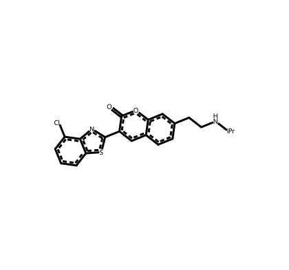 CC(C)NCCc1ccc2cc(-c3nc4c(Cl)cccc4s3)c(=O)oc2c1